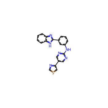 c1cc(Nc2ncc(-c3cscn3)cn2)cc(-c2nc3ccccc3[nH]2)c1